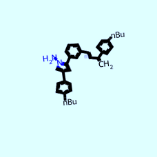 C=C(/C=C/c1cccc(-c2cc(-c3ccc(CCCC)cc3)cn2N)c1)c1ccc(CCCC)cc1